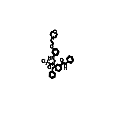 O=C(Nc1ccccc1)C1=CC(Cc2ccccc2)(N(CNc2cccc(OCCN3CCOCC3)c2)C(=O)C(Cl)(Cl)Cl)CCC1